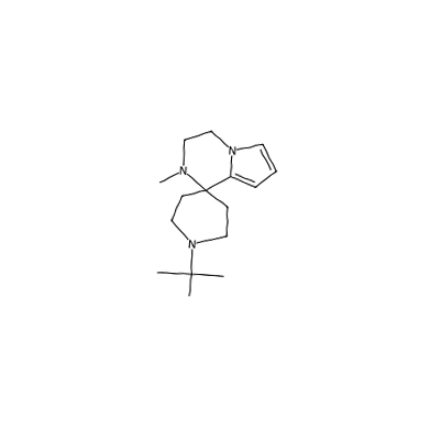 CN1CCn2cccc2C12CCN(C(C)(C)C)CC2